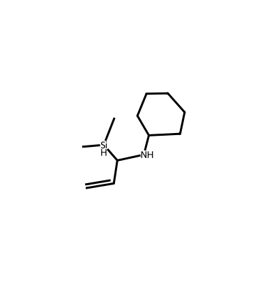 C=CC(NC1CCCCC1)[SiH](C)C